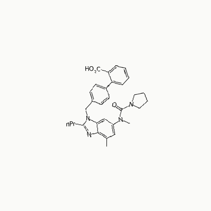 CCCc1nc2c(C)cc(N(C)C(=O)N3CCCC3)cc2n1Cc1ccc(-c2ccccc2C(=O)O)cc1